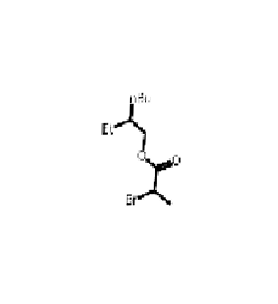 CCCCC(CC)COC(=O)C(C)Br